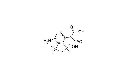 CC(C)(C)c1c(N)cnc(N(C(=O)O)C(=O)O)c1C(C)(C)C